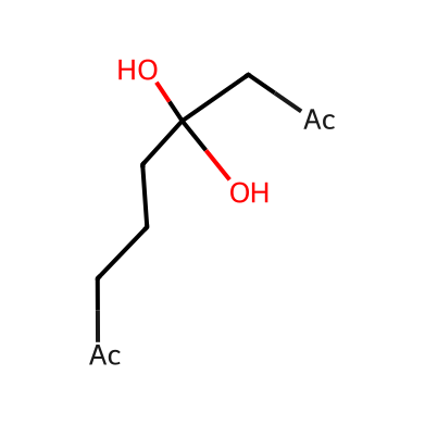 CC(=O)CCCC(O)(O)CC(C)=O